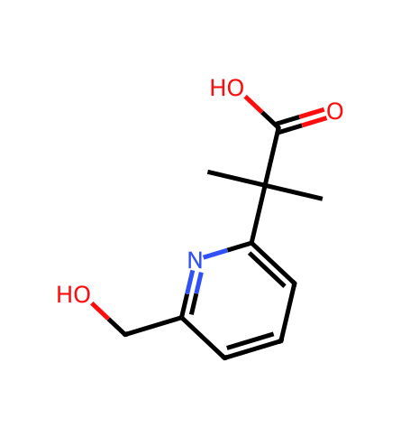 CC(C)(C(=O)O)c1cccc(CO)n1